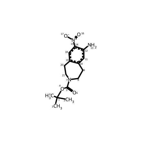 CC(C)(C)OC(=O)N1CCc2cc(N)c([N+](=O)[O-])cc2CC1